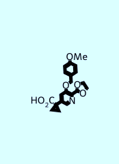 COc1ccc(COc2cc(C3(C(=O)O)CC3)cnc2C2OCCO2)cc1